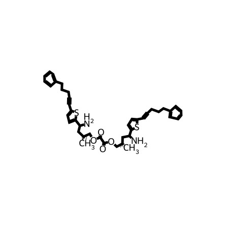 C[C@@H](COC(=O)C(=O)OC[C@H](C)CC(N)c1ccc(C#CCCCc2ccccc2)s1)CC(N)c1ccc(C#CCCCc2ccccc2)s1